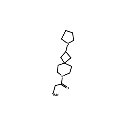 CNCC(=O)N1CCC2(CC1)CC(N1CCCC1)C2